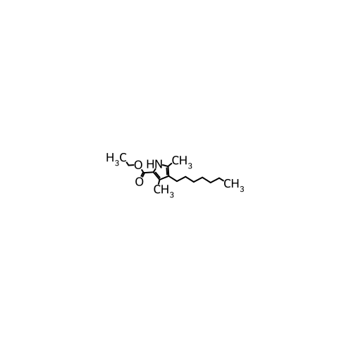 CCCCCCCc1c(C)[nH]c(C(=O)OCC)c1C